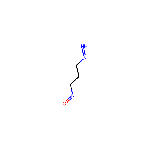 N=NCCCN=O